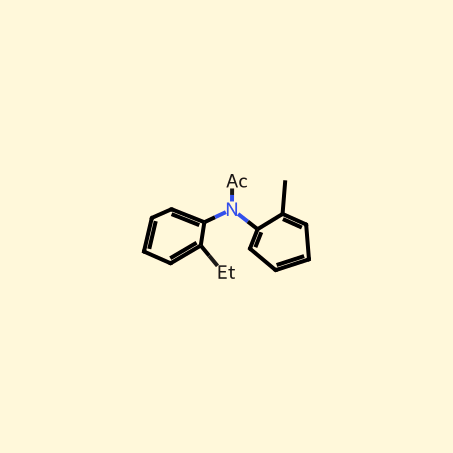 CCc1ccccc1N(C(C)=O)c1ccccc1C